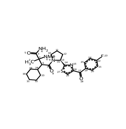 CNC(C)(C(N)=O)C(C(=O)N1CCC[C@H]1c1nc(C(=O)c2ccc(F)cc2)cs1)C1CCCCC1